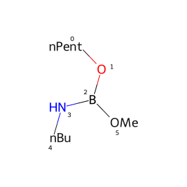 CCCCCOB(NCCCC)OC